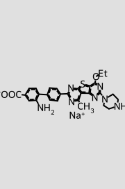 CCOc1nc(N2CCNCC2)nc2c1sc1nc(-c3ccc(-c4ccc(C(=O)[O-])cc4N)cc3)nc(C)c12.[Na+]